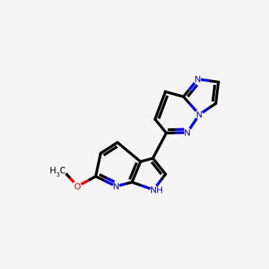 COc1ccc2c(-c3ccc4nccn4n3)c[nH]c2n1